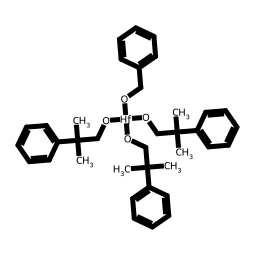 CC(C)(C[O][Hf]([O]Cc1ccccc1)([O]CC(C)(C)c1ccccc1)[O]CC(C)(C)c1ccccc1)c1ccccc1